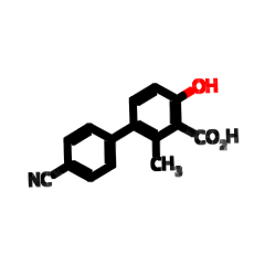 Cc1c(-c2ccc(C#N)cc2)ccc(O)c1C(=O)O